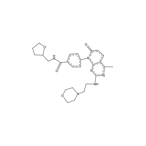 Cc1nc(NCCN2CCOCC2)nc2c1ccc(=O)n2-c1ccc(C(=O)NCC2CCCO2)cc1